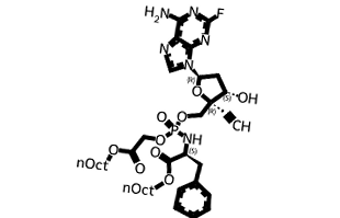 C#C[C@]1(COP(=O)(N[C@@H](Cc2ccccc2)C(=O)OCCCCCCCC)OCC(=O)OCCCCCCCC)O[C@@H](n2cnc3c(N)nc(F)nc32)C[C@@H]1O